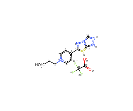 O=C(O)CC[n+]1ccc(-c2nn3cnnc3s2)cc1.O=C([O-])C(F)(F)F